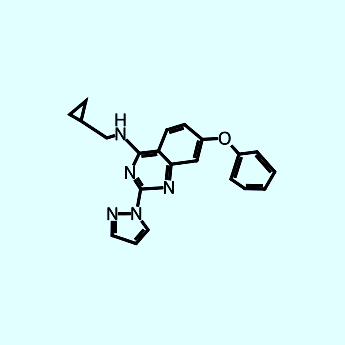 c1ccc(Oc2ccc3c(NCC4CC4)nc(-n4cccn4)nc3c2)cc1